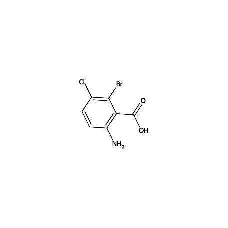 Nc1ccc(Cl)c(Br)c1C(=O)O